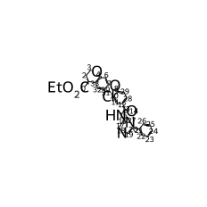 CCOC(=O)C1CCOc2cc(Oc3ccc(C(=O)Nc4cncc(-c5ccccc5)n4)cc3)c(Cl)cc21